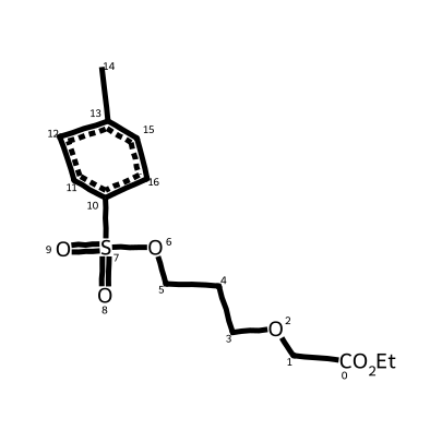 CCOC(=O)COCCCOS(=O)(=O)c1ccc(C)cc1